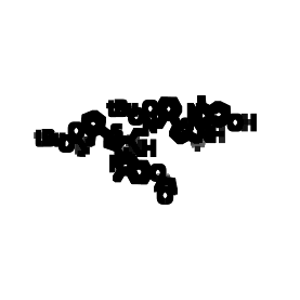 Cc1nnc(N[C@H](C)c2ccc(-c3ccccc3CN(CC[C@@H](Nc3nnc(C)c4ccc(O[C@H]5CCOC5)cc34)c3ccc(-c4ccccc4CN(C)C(=O)OC(C)(C)C)s3)C(=O)OC(C)(C)C)s2)c2cc(O)ccc12